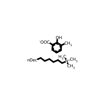 CCCCCCCCCCCCCCCC[N+](C)(C)C.Cc1cccc(C(=O)[O-])c1O